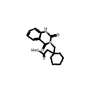 COC(=O)CC1(Cn2c(=O)[nH]c3ccccc3c2=O)CCCCC1